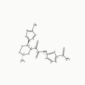 C[C@@H]1CC[C@@H](c2ccc(C#N)cc2)N(C(=O)C(=O)Nc2cncc(C(N)=O)c2)C1